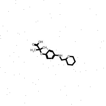 CC(C)(Oc1ccc(NCC2CCCCO2)cc1)C(=O)O